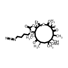 CCC1OC(=O)C(C)(F)C(=O)C(C)[C@@H](O)[C@@](C)(OC)C[C@@H](C)C(=O)[C@H](C)[C@H]2N(CCCCN=[N+]=[N-])C(=O)O[C@]12C